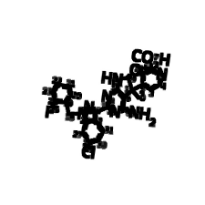 CC1(c2ccnc(C(=O)O)c2)C(=O)Nc2nc(-c3nn(Cc4ccccc4F)c4cc(Cl)ccc34)nc(N)c21